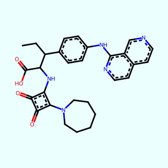 CCC(c1ccc(Nc2nccc3ccncc23)cc1)C(Nc1c(N2CCCCCC2)c(=O)c1=O)C(=O)O